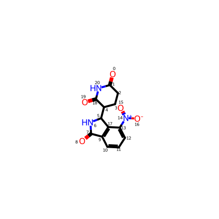 O=C1CCC(C2NC(=O)c3cccc([N+](=O)[O-])c32)C(=O)N1